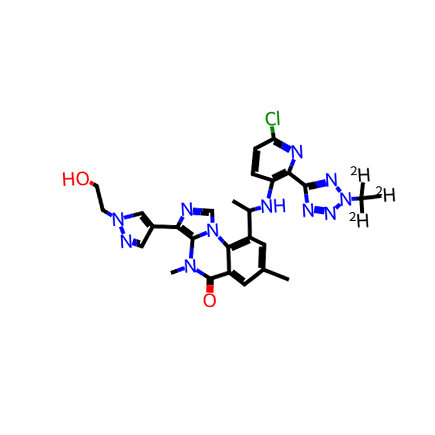 [2H]C([2H])([2H])n1nnc(-c2nc(Cl)ccc2NC(C)c2cc(C)cc3c(=O)n(C)c4c(-c5cnn(CCO)c5)ncn4c23)n1